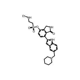 CCNCCS(=O)(=O)Oc1ccc(-c2cc3cc(CN4CCCCC4)ccc3[nH]2)c2c1CNC2=O